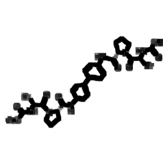 COC(=O)N[C@H](C(=O)N1CCC[C@H]1C(=O)Nc1ccc(-c2ccc(NC(=O)[C@@H]3CCCN3C(=O)[C@@H](NC(=O)OC)C(C)C)cc2)cc1)C(C)C